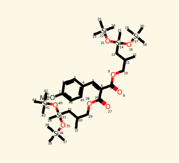 COc1ccc(C=C(C(=O)OCC(C)C[Si](C)(O[Si](C)(C)C)O[Si](C)(C)C)C(=O)OCC(C)C[Si](C)(O[Si](C)(C)C)O[Si](C)(C)C)cc1